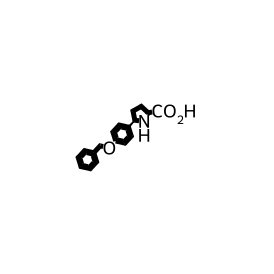 O=C(O)C1CC[C@H](c2ccc(OCc3ccccc3)cc2)N1